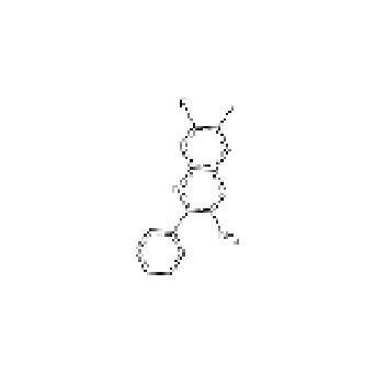 Cc1cc2cc(N)c(-c3ccccc3)nc2cc1F